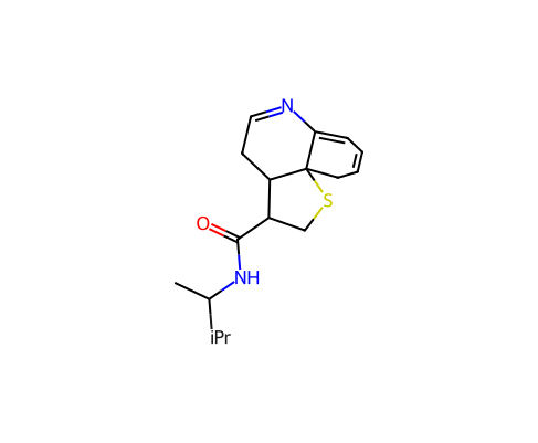 CC(C)C(C)NC(=O)C1CSC23CC=CC=C2N=CCC13